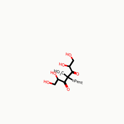 CCCCCC(C(=O)O)(C(=O)C(O)CO)C(=O)C(O)CO